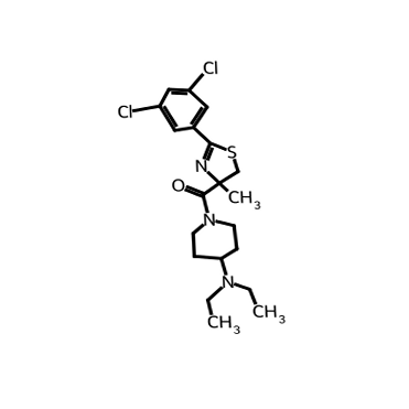 CCN(CC)C1CCN(C(=O)C2(C)CSC(c3cc(Cl)cc(Cl)c3)=N2)CC1